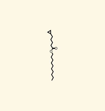 CCCCCCCCCCOC(=O)CCCCC1CC1